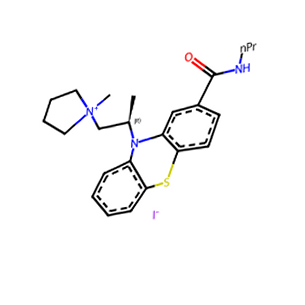 CCCNC(=O)c1ccc2c(c1)N([C@H](C)C[N+]1(C)CCCC1)c1ccccc1S2.[I-]